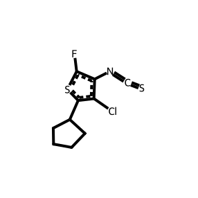 Fc1sc(C2CCCC2)c(Cl)c1N=C=S